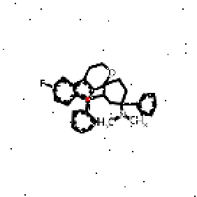 CN(C)C1(c2ccccc2)CCC2(OCCc3c2[nH]c2ccc(F)cc32)C(Cc2ccccc2)C1